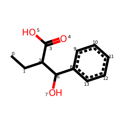 CCC(C(=O)O)C(O)c1ccccc1